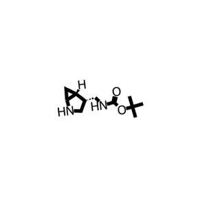 CC(C)(C)OC(=O)NC[C@@H]1CNC2C[C@@H]21